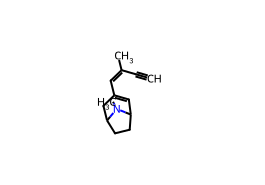 C#C/C(C)=C\C1=CC2CCC(C1)N2C